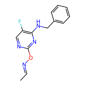 CC=NOc1ncc(F)c(NCc2ccccc2)n1